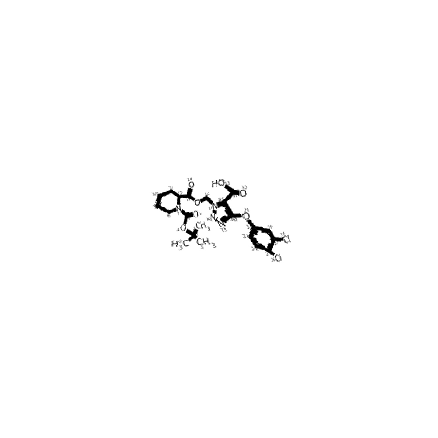 CC(C)(C)OC(=O)N1CCCCC1C(=O)OCn1nnc(Oc2ccc(Cl)c(Cl)c2)c1C(=O)O